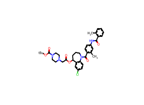 Cc1ccccc1C(=O)Nc1ccc(C(=O)N2CCCC(OC(=O)CN3CCN(C(=O)OC(C)(C)C)CC3)c3cc(Cl)ccc32)c(C)c1